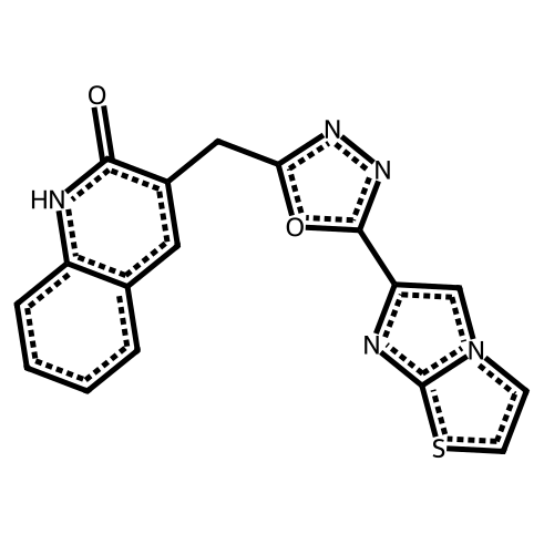 O=c1[nH]c2ccccc2cc1Cc1nnc(-c2cn3ccsc3n2)o1